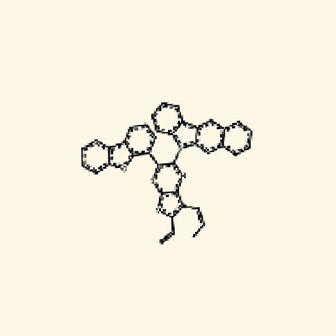 C=Cc1oc2nc(-c3cccc4c3oc3ccccc34)c(-n3c4ccccc4c4cc5ccccc5cc43)nc2c1/C=C\C